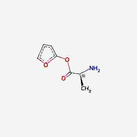 C[C@H](N)C(=O)Oc1ccco1